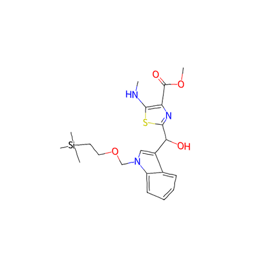 CNc1sc(C(O)c2cn(COCC[Si](C)(C)C)c3ccccc23)nc1C(=O)OC